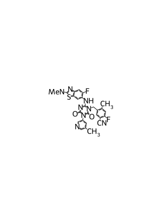 CNc1nc2cc(F)c(Nc3nc(=O)n(-c4cncc(C)c4)c(=O)n3Cc3cc(C#N)c(F)cc3C)cc2s1